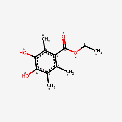 CCOC(=O)c1c(C)c(C)c(O)c(O)c1C